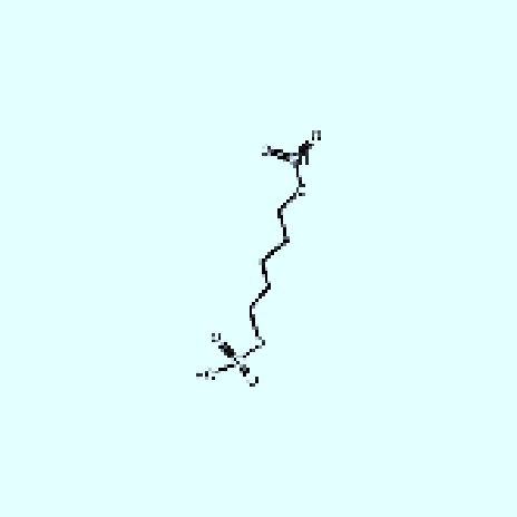 O=[SH](=O)OCCCCCOS(=O)(=O)O